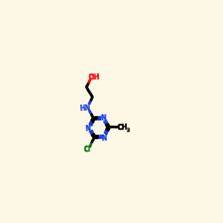 Cc1nc(Cl)nc(NCCO)n1